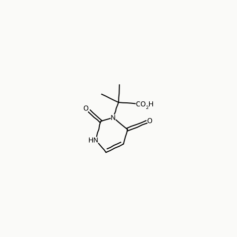 CC(C)(C(=O)O)n1c(=O)cc[nH]c1=O